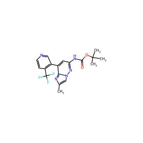 Cc1cn2nc(NC(=O)OC(C)(C)C)cc(-c3cnccc3C(F)(F)F)c2n1